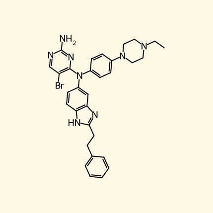 CCN1CCN(c2ccc(N(c3ccc4[nH]c(CCc5ccccc5)nc4c3)c3nc(N)ncc3Br)cc2)CC1